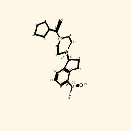 C=C(C1CCCC1)N1CCN(C2CCc3c2cccc3[N+](=O)[O-])CC1